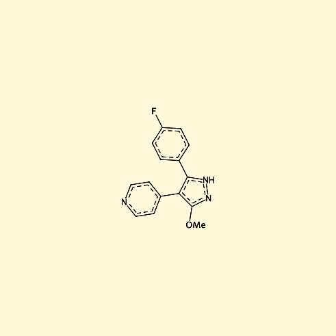 COc1n[nH]c(-c2ccc(F)cc2)c1-c1ccncc1